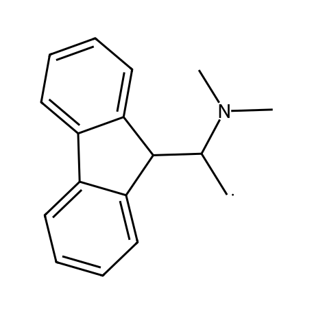 [CH2]C(C1c2ccccc2-c2ccccc21)N(C)C